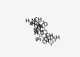 CC(C)[C@@H](C)[C@@]1(C)CC[C@]2(C)[C@H]3CC[C@@H]4[C@@]5(COC[C@@]4(C)[C@@H](OC[C@](C)(N)C(C)C)[C@H](n4cnnc4C#N)C5)C3=CC[C@@]2(C)[C@@H]1C(=O)O